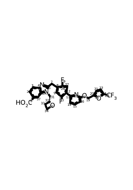 O=C(O)c1ccc2nc(Cc3cc(F)c(-c4cccc(OCc5ccc(C(F)(F)F)o5)n4)cc3F)n(C[C@@H]3CCO3)c2c1